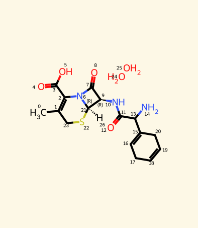 CC1=C(C(=O)O)N2C(=O)[C@@H](NC(=O)C(N)C3=CCC=CC3)[C@H]2SC1.O.O